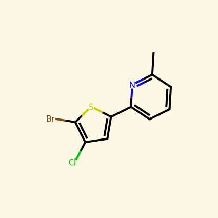 Cc1cccc(-c2cc(Cl)c(Br)s2)n1